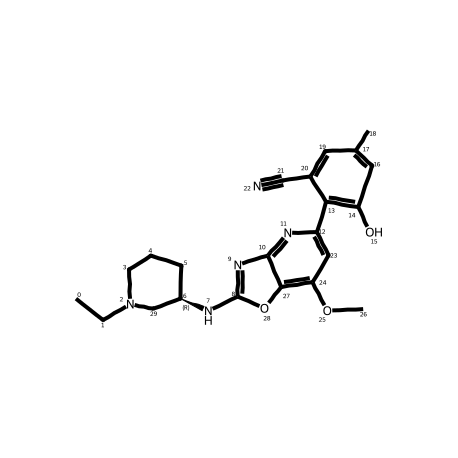 CCN1CCC[C@@H](Nc2nc3nc(-c4c(O)cc(C)cc4C#N)cc(OC)c3o2)C1